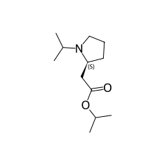 CC(C)OC(=O)C[C@@H]1CCCN1C(C)C